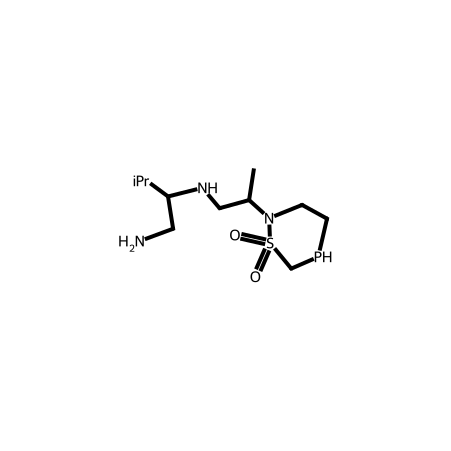 CC(C)C(CN)NCC(C)N1CCPCS1(=O)=O